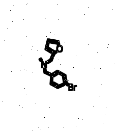 CN(Cc1ccc(Br)cc1)Cc1ccco1